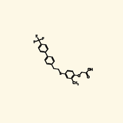 Cc1cc(SCCc2ccc(-c3ccc(C(F)(F)F)cc3)cc2)ccc1OCC(=O)O